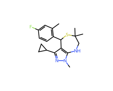 Cc1cc(F)ccc1C1SC(C)(C)CNc2c1c(C1CC1)nn2C